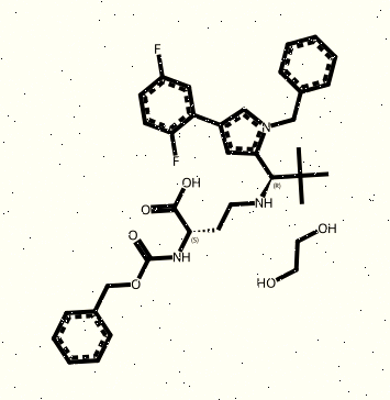 CC(C)(C)[C@@H](NCC[C@H](NC(=O)OCc1ccccc1)C(=O)O)c1cc(-c2cc(F)ccc2F)cn1Cc1ccccc1.OCCO